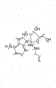 C=CCNN[C@@]1(n2cnc3c(N)ncnc32)O[C@H](CO)[C@@H](O)[C@H]1O